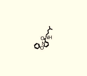 CC(C)CCCNC(=O)c1cccc(Oc2ccccc2)n1